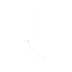 CCCCCCCCCCCC(=O)OOOOC(C)(C)C